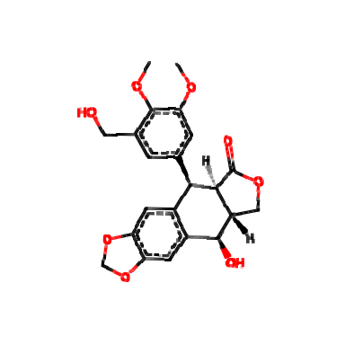 COc1cc([C@@H]2c3cc4c(cc3[C@H](O)[C@H]3COC(=O)[C@H]23)OCO4)cc(CO)c1OC